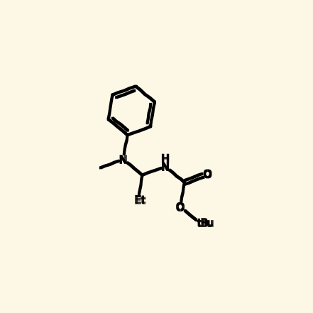 CCC(NC(=O)OC(C)(C)C)N(C)c1ccccc1